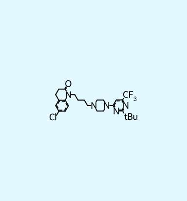 CC(C)(C)c1nc(N2CCN(CCCCN3C(=O)CCc4cc(Cl)ccc43)CC2)cc(C(F)(F)F)n1